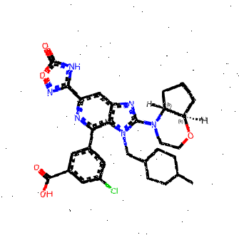 CC1CCC(Cn2c(N3CCO[C@@H]4CCC[C@H]43)nc3cc(-c4noc(=O)[nH]4)nc(-c4cc(Cl)cc(C(=O)O)c4)c32)CC1